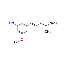 CCC(C)Oc1cc(N)cc(C=CCC(C)NC)c1